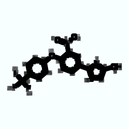 O=[N+]([O-])c1cc(-c2nc(O)cs2)ccc1Oc1ccc(C(F)(F)F)cc1